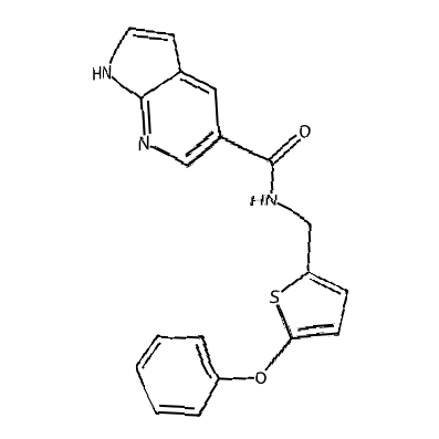 O=C(NCc1ccc(Oc2ccccc2)s1)c1cnc2[nH]ccc2c1